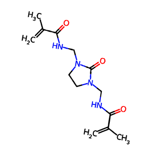 C=C(C)C(=O)NCN1CCN(CNC(=O)C(=C)C)C1=O